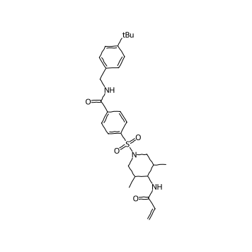 C=CC(=O)NC1C(C)CN(S(=O)(=O)c2ccc(C(=O)NCc3ccc(C(C)(C)C)cc3)cc2)CC1C